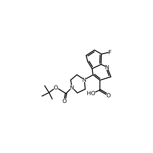 CC(C)(C)OC(=O)N1CCN(c2c(C(=O)O)cnc3c(F)cccc23)CC1